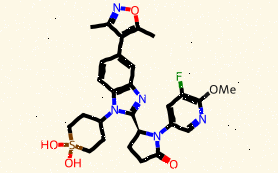 COc1ncc(N2C(=O)CC[C@H]2c2nc3cc(-c4c(C)noc4C)ccc3n2C2CCS(O)(O)CC2)cc1F